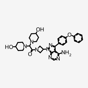 Nc1ncnc2c1c(-c1ccc(Oc3ccccc3)cc1)nn2C1CN(C(=O)C(N2CCC(O)CC2)N2CCC(O)CC2)C1